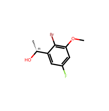 COc1cc(F)cc([C@@H](C)O)c1Br